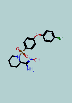 NC(=NO)C1CCCCN1S(=O)(=O)c1ccc(Oc2ccc(Br)cc2)cc1